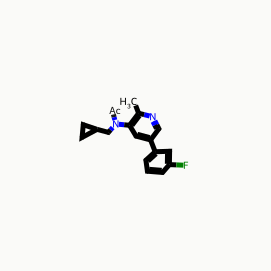 CC(=O)N(CC1CC1)c1cc(-c2cccc(F)c2)cnc1C